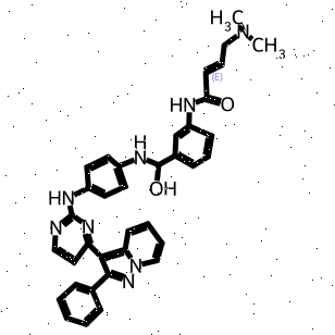 CN(C)C/C=C/C(=O)Nc1cccc(C(O)Nc2ccc(Nc3nccc(-c4c(-c5ccccc5)nn5ccccc45)n3)cc2)c1